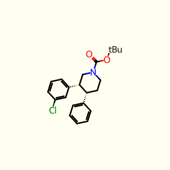 CC(C)(C)OC(=O)N1CC[C@H](c2ccccc2)[C@H](c2cccc(Cl)c2)C1